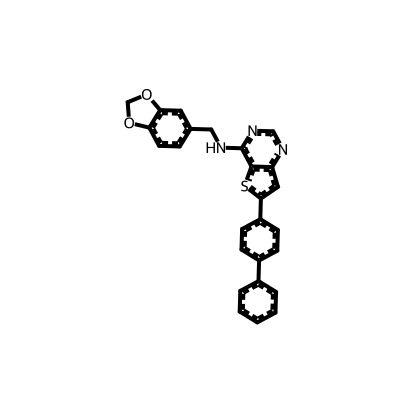 c1ccc(-c2ccc(-c3cc4ncnc(NCc5ccc6c(c5)OCO6)c4s3)cc2)cc1